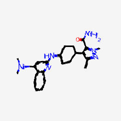 Cc1nn(C)c(C(N)=O)c1C1CCC(Nc2cc(N(C)C)c3ccccc3n2)CC1